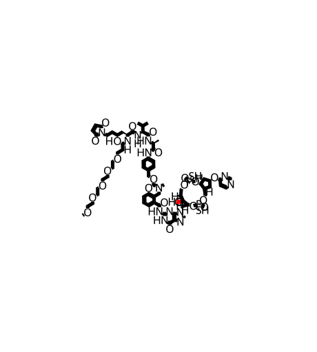 COCCOCCOCCOCCOCCC(O)N[C@@H](CCCCN1C(=O)C=CC1=O)C(=O)N[C@H](C(=O)N[C@@H](C)C(=O)Nc1ccc(COC(=O)N(C)Cc2ccccc2C(=O)Nc2nc3c(ncn3[C@@H]3O[C@@H]4CO[P@@](=O)(S)O[C@H]5C[C@H](Oc6ccncn6)C[C@@H]5CO[P@@](=O)(S)O[C@@H]3[C@@H]4O)c(=O)[nH]2)cc1)C(C)C